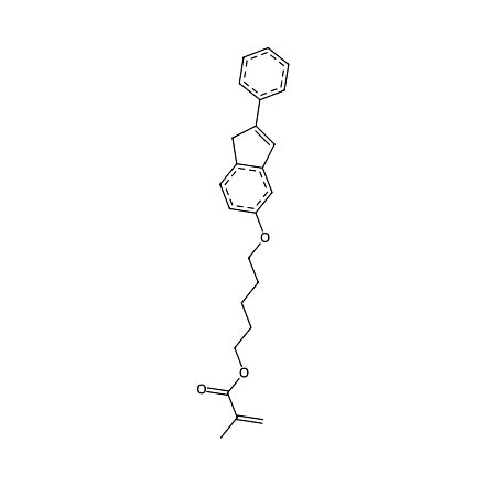 C=C(C)C(=O)OCCCCCOc1ccc2c(c1)C=C(c1ccccc1)C2